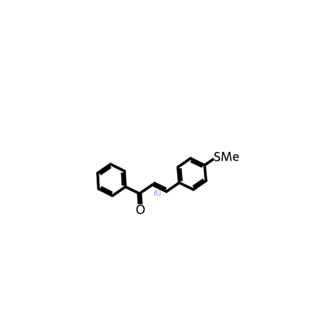 CSc1ccc(/C=C/C(=O)c2ccccc2)cc1